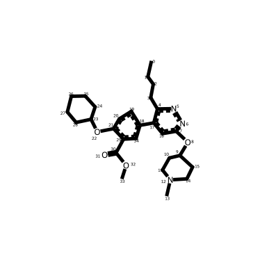 CCCCc1nnc(OC2CCN(C)CC2)cc1-c1ccc(OC2CCCCC2)c(C(=O)OC)c1